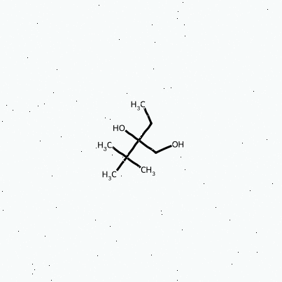 CCC(O)(CO)C(C)(C)C